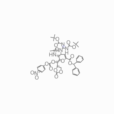 CC(=O)N[C@@H]1C(N/C(=N\C(=O)OC(C)(C)C)NC(=O)OC(C)(C)C)C=C(C(=O)OC(c2ccccc2)c2ccccc2)O[C@H]1[C@H](OC(=O)Oc1ccc([N+](=O)[O-])cc1)[C@H]1COC(=O)O1